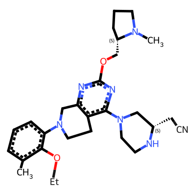 CCOc1c(C)cccc1N1CCc2c(nc(OC[C@@H]3CCCN3C)nc2N2CCN[C@@H](CC#N)C2)C1